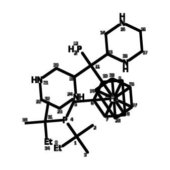 CCC(C)(C)P(C[C]12[CH]3[CH]4[CH]5[C]1(C(P)(C1CNCCN1)C1CNCCN1)[Fe]43521678[CH]2[CH]1[CH]6[CH]7[CH]28)C(C)(C)CC